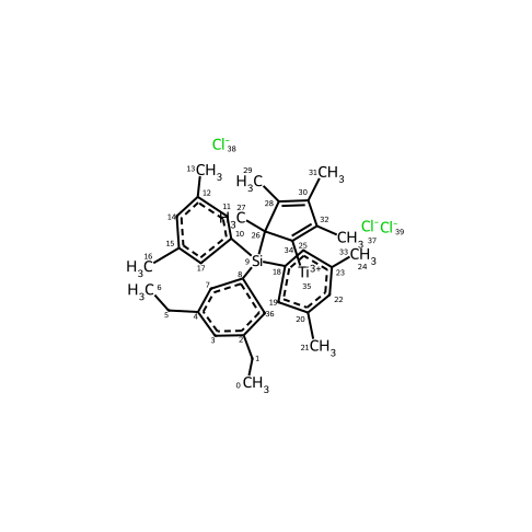 CCc1cc(CC)cc([Si](c2cc(C)cc(C)c2)(c2cc(C)cc(C)c2)C2(C)C(C)=C(C)C(C)=[C]2[Ti+3])c1.[Cl-].[Cl-].[Cl-]